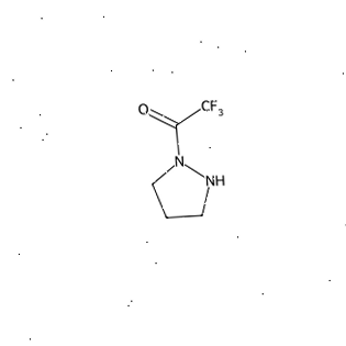 O=C(N1CCCN1)C(F)(F)F